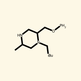 CCC(C)CN1CC(C)NCC1COP